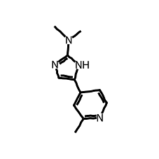 Cc1cc(-c2cnc(N(C)C)[nH]2)ccn1